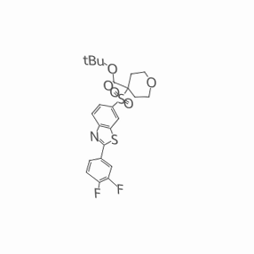 CC(C)(C)OC(=O)C1(S(=O)(=O)c2ccc3nc(-c4ccc(F)c(F)c4)sc3c2)CCOCC1